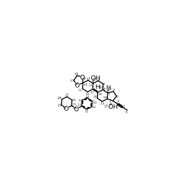 CC#C[C@]1(O)CC[C@H]2[C@@H]3CC[C@@]4(O)CC5(CCC4=C3[C@@H](c3ccc(OC4CCCCO4)cc3)C[C@@]21C)OCCO5